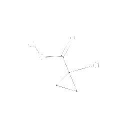 O=C(OCl)C1(Cl)CC1